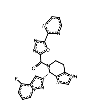 O=C(c1nnc(-c2ncccn2)o1)N1CCc2[nH]cnc2[C@@H]1c1cc2c(F)cccn2n1